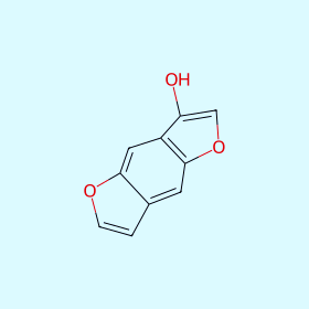 Oc1coc2cc3ccoc3cc12